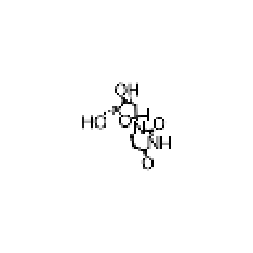 O=c1ccn(C2(I)C[C@H](O)[C@@H](CO)O2)c(=O)[nH]1